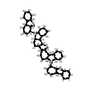 c1ccc2c(c1)sc1c(-n3c4ccccc4c4c5sc6c(ccc7c6c6ccccc6n7-c6cccc7c6sc6ccccc67)c5ccc43)cccc12